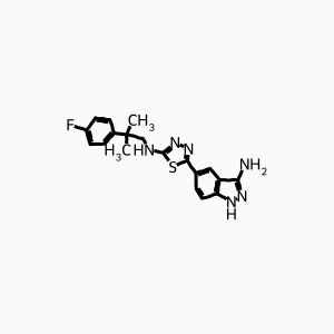 CC(C)(CNc1nnc(-c2ccc3[nH]nc(N)c3c2)s1)c1ccc(F)cc1